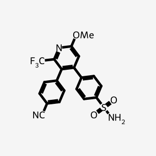 COc1cc(-c2ccc(S(N)(=O)=O)cc2)c(-c2ccc(C#N)cc2)c(C(F)(F)F)n1